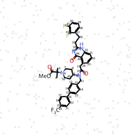 COC(=O)C(C)(C)N1CCC(N(Cc2ccc(-c3ccc(C(F)(F)F)cc3)cc2)C(=O)Cc2cccc3[nH]c(CCc4cccc(F)c4F)nc(=O)c23)CC1